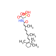 CC1=C(/C=C/C(C)=C/C=C/C(C)=C/C(=O)NC(CS(=O)(=O)O)C(=O)O)C(C)(C)CCC1